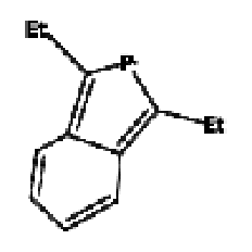 CCC1=c2ccccc2=C(CC)[P]1